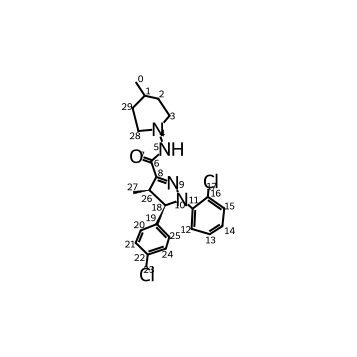 CC1CCN(NC(=O)C2=NN(c3ccccc3Cl)[C@@H](c3ccc(Cl)cc3)[C@H]2C)CC1